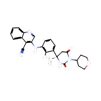 Cc1c(Nc2cnc3ccccc3c2C#N)cccc1[C@]1(C)CC(=O)N(C2CCOCC2)C(=O)N1